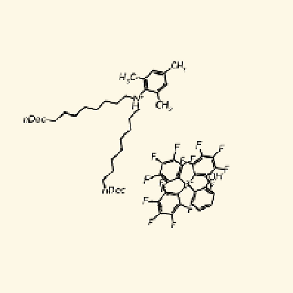 CCCCCCCCCCCCCCCCCC[NH+](CCCCCCCCCCCCCCCCCC)c1c(C)cc(C)cc1C.Oc1ccccc1[B-](c1c(F)c(F)c(F)c(F)c1F)(c1c(F)c(F)c(F)c(F)c1F)c1c(F)c(F)c(F)c(F)c1F